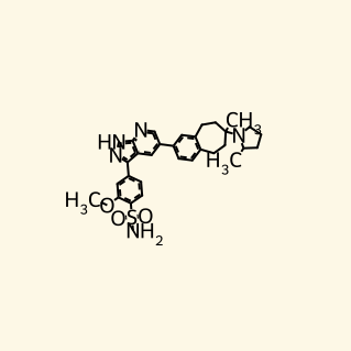 COc1cc(-c2n[nH]c3ncc(-c4ccc5c(c4)CCC(C)(N4CCCC4C)CC5)cc23)ccc1S(N)(=O)=O